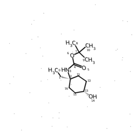 CC[C@]1(NC(=O)OC(C)(C)C)CC[C@H](O)CC1